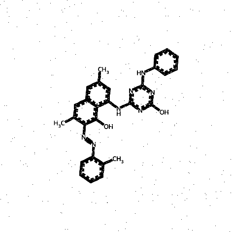 Cc1cc(Nc2nc(O)nc(Nc3ccccc3)n2)c2c(O)c(N=Nc3ccccc3C)c(C)cc2c1